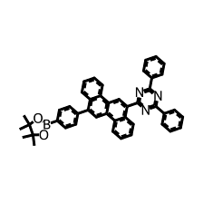 CC1(C)OB(c2ccc(-c3cc4c5ccccc5c(-c5nc(-c6ccccc6)nc(-c6ccccc6)n5)cc4c4ccccc34)cc2)OC1(C)C